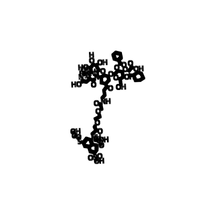 CC1OC(OC2C(NC(=O)c3cc(O)nc(O)n3)CC(C(=O)CCCNC(=O)COCCOCC(=O)CNc3cc(SOOO)cc4cc(S(=O)(=O)O)cc(S(=O)(=O)O)c34)CC2OC2OC(CO)C(O)C(O[C@@H](CC3CCCCC3)C(=O)O)C2OC(=O)c2ccccc2)C(O)C(O)C1O